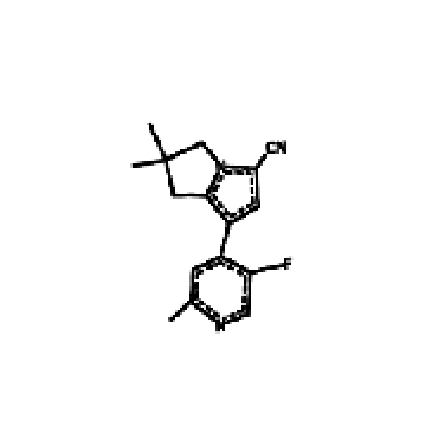 Cc1cc(-c2cc(C#N)n3c2CC(C)(C)C3)c(F)cn1